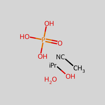 CC#N.CC(C)O.O.O=P(O)(O)O